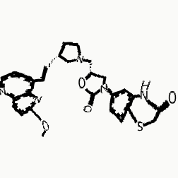 COc1ccc2nccc(/C=C/[C@@H]3CCN(C[C@@H]4CN(c5ccc6c(c5)NC(=O)CS6)C(=O)O4)C3)c2n1